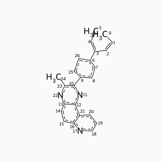 C/C=C\C(=C/C)c1ccc(-c2nc3c(ccc4ncccc43)nc2C)cc1